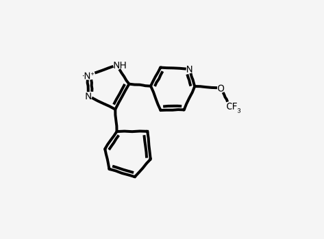 FC(F)(F)Oc1ccc(C2=C(c3ccccc3)N=[N+]N2)cn1